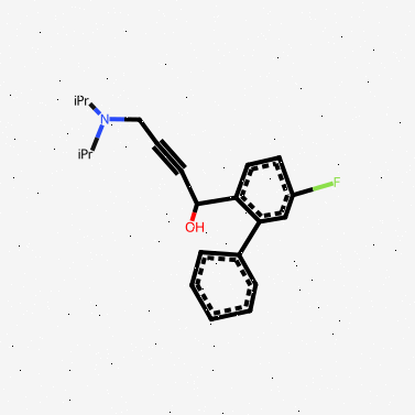 CC(C)N(CC#CC(O)c1ccc(F)cc1-c1ccccc1)C(C)C